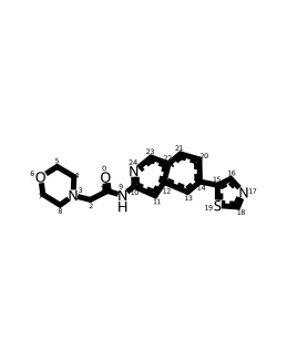 O=C(CN1CCOCC1)Nc1cc2cc(-c3cncs3)ccc2cn1